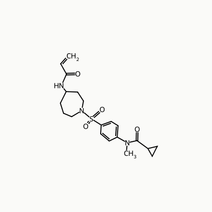 C=CC(=O)NC1CCCN(S(=O)(=O)c2ccc(N(C)C(=O)C3CC3)cc2)CC1